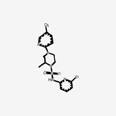 CCc1cccc(NS(=O)(=O)N2CCN(c3ccc(C#N)cn3)CC2C)n1